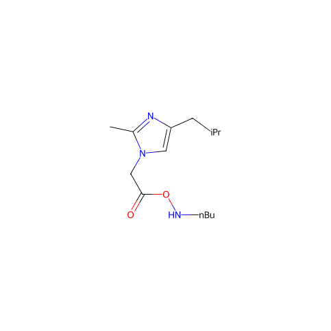 CCCCNOC(=O)Cn1cc(CC(C)C)nc1C